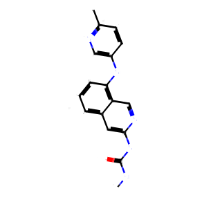 CCNC(=O)Nc1cc2cccc(Nc3ccc(C)nc3)c2cn1.Cl